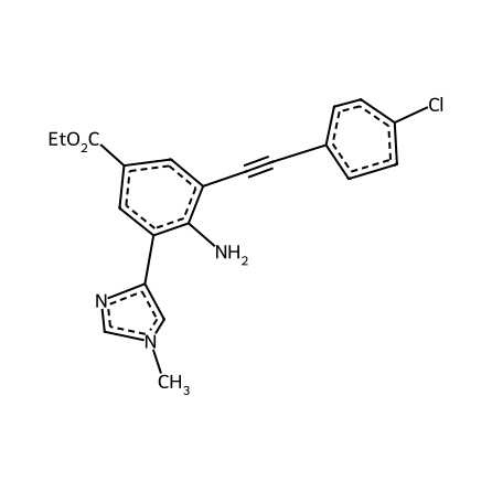 CCOC(=O)c1cc(C#Cc2ccc(Cl)cc2)c(N)c(-c2cn(C)cn2)c1